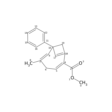 COC(=O)/C1=C/C/C(C)=C/C2(c3ccccc3)C=C1C2